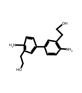 Nc1ccc(-c2ccc(N)c(CCO)c2)cc1CCO